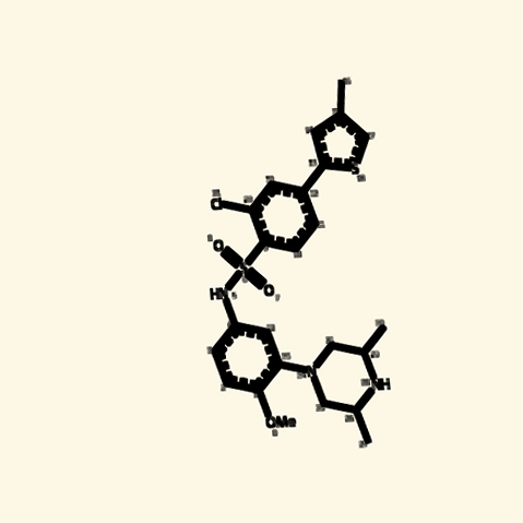 COc1ccc(NS(=O)(=O)c2ccc(-c3cc(C)cs3)cc2Cl)cc1N1CC(C)NC(C)C1